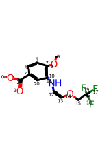 COC(=O)c1ccc(OC)c(N/C=C\OCC(F)(F)F)c1